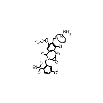 CCS(=O)(=O)c1ccc(Cl)cc1CN1C(=O)c2cc(OC(F)(F)F)c(CN3CCC[C@@H](N)C3)c(Cl)c2NC2OC21